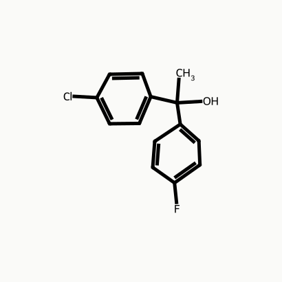 CC(O)(c1ccc(F)cc1)c1ccc(Cl)cc1